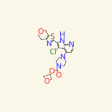 O=C(OC1COC1)N1CCN(c2ccnc3[nH]c(-c4nc5c(s4)COCC5)c(Cl)c23)CC1